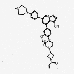 C=CC(=O)N1CC(N2CCN3c4ccc(-c5cc(-c6ccc(N7CCN(C)CC7)cc6)cn6ncc(C#N)c56)cc4OC[C@H]3C2)C1